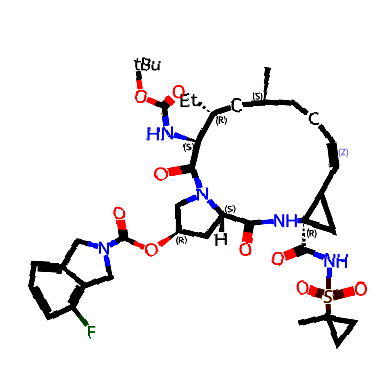 CC[C@@H]1C[C@@H](C)CC/C=C\C2C[C@@]2(C(=O)NS(=O)(=O)C2(C)CC2)NC(=O)[C@@H]2C[C@@H](OC(=O)N3Cc4cccc(F)c4C3)CN2C(=O)[C@H]1NC(=O)OC(C)(C)C